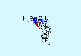 C[C@@H](NC(=O)c1ccc2c(-c3ccc(C(F)(F)F)cc3)cccc2c1)c1nnn(C)n1